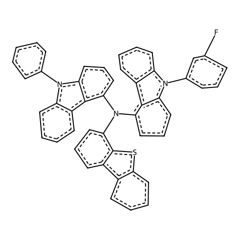 Fc1cccc(-n2c3ccccc3c3c(N(c4cccc5c4sc4ccccc45)c4cccc5c4c4ccccc4n5-c4ccccc4)cccc32)c1